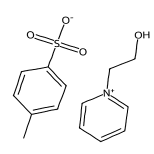 Cc1ccc(S(=O)(=O)[O-])cc1.OCC[n+]1ccccc1